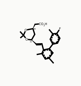 Cc1cc(C)c(C=C[C@@H]2C[C@H](CC(=O)O)OC(C)(C)O2)c(-c2ccc(F)c(C)c2)c1